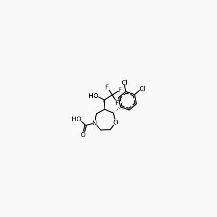 O=C(O)N1CCO[C@@H](c2ccc(Cl)c(Cl)c2)[C@H](C(O)C(F)(F)F)C1